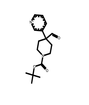 CC(C)(C)OC(=O)N1CCC(C=O)(c2cccnc2)CC1